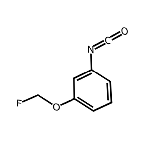 O=C=Nc1cccc(OCF)c1